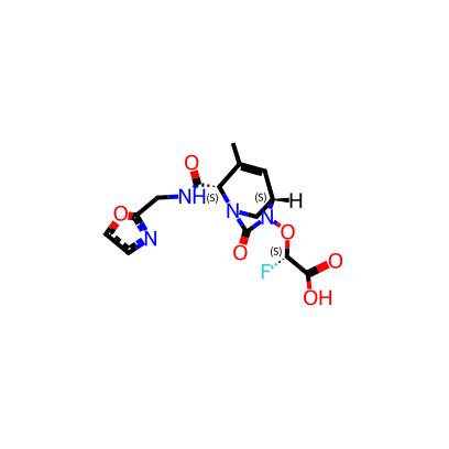 CC1=C[C@H]2CN(C(=O)N2O[C@@H](F)C(=O)O)[C@@H]1C(=O)NCc1ncco1